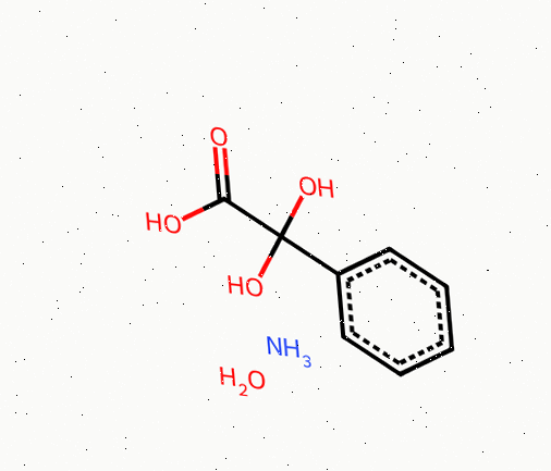 N.O.O=C(O)C(O)(O)c1ccccc1